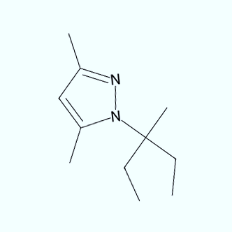 CCC(C)(CC)n1nc(C)cc1C